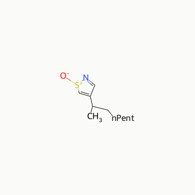 CCCCCCC(C)c1cn[s+]([O-])c1